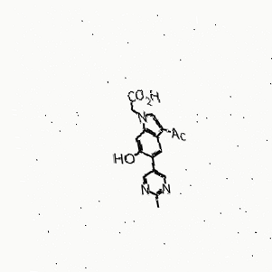 CC(=O)c1cn(CC(=O)O)c2cc(O)c(-c3cnc(C)nc3)cc12